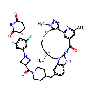 Cc1cc2cc(n1)-c1cnn(C)c1OCCC[C@@H](C)CN1/C(=N/C2=O)Nc2ccc(CC3CCN(C(=O)C4CN(c5cc(F)c([C@H]6CCC(=O)NC6=O)c(F)c5)C4)CC3)cc21